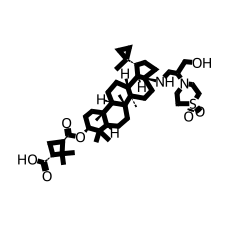 CC1([C@@H]2CC[C@]3(NCC(CO)N4CCS(=O)(=O)CC4)CC[C@]4(C)[C@H](CC[C@@H]5[C@@]6(C)CC[C@H](OC(=O)[C@H]7C[C@@H](C(=O)O)C7(C)C)C(C)(C)[C@@H]6CC[C@]54C)[C@@H]23)CC1